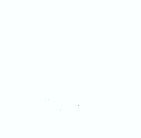 CC(C)(C)OC(=O)NCC(c1cccc(Cl)c1)n1ccc(-c2c[nH]c3ncc(N4CCOCC4)cc23)cc1=O